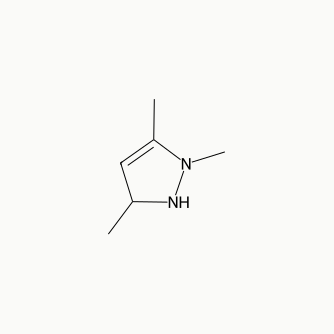 CC1=CC(C)NN1C